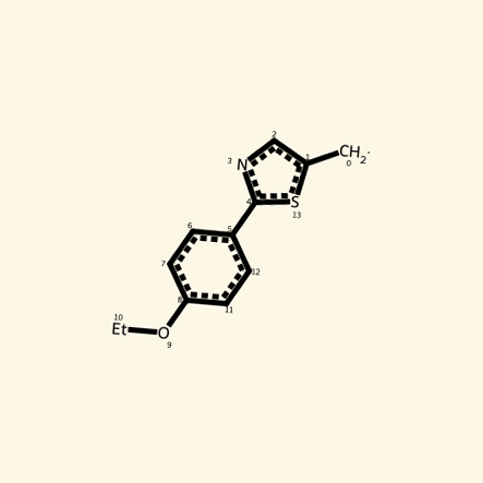 [CH2]c1cnc(-c2ccc(OCC)cc2)s1